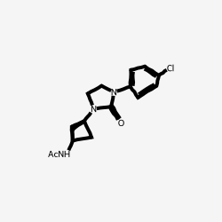 CC(=O)NC12CC(N3CCN(c4ccc(Cl)cc4)C3=O)(C1)C2